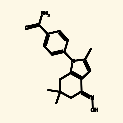 Cc1cc2c(n1-c1ccc(C(N)=O)cc1)CC(C)(C)CC2=NO